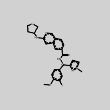 COc1ccc([C@@H](NC(=O)c2ccc3cnc(NC4CCOC4)cc3c2)c2ccn(C)n2)cc1F